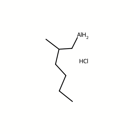 CCCCC(C)[CH2][AlH2].Cl